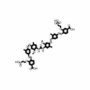 COc1cc(N=Nc2ccc(N=Nc3ccc(C(=O)O)cc3OCCS(=O)(=O)O)cc2C)c(C)cc1NC(=O)Nc1cc(C)c(/N=N\c2ccc(N=Nc3ccc(C(=O)O)cc3OCCS(=O)O)cc2C)cc1OC